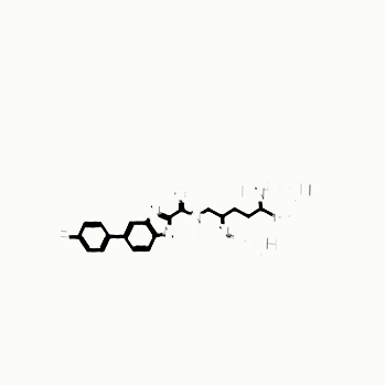 CC(C)C(CCC(CNC(=O)c1nc2cc(-c3ccc(F)cc3)ccc2[nH]1)NC(=O)O)NC(=O)O